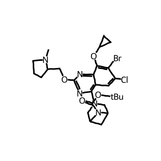 CN1CCCC1COc1nc(N2CC3CC(C2)N3C(=O)OC(C)(C)C)c2cc(Cl)c(Br)c(OC3CC3)c2n1